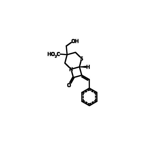 O=C1C(=Cc2ccccc2)[C@H]2SCC(CO)(C(=O)O)CN12